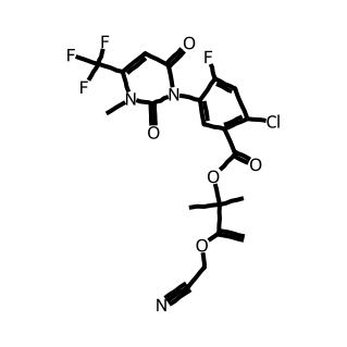 C=C(OCC#N)C(C)(C)OC(=O)c1cc(-n2c(=O)cc(C(F)(F)F)n(C)c2=O)c(F)cc1Cl